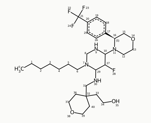 CCCCCCCN1CNC(N2CCOC[C@@H]2c2ccc(C(F)(F)F)cc2)C(F)C1NCC1(CCO)CCOCC1